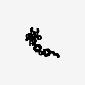 CCCCc1ccc(Oc2ccc(CCC(NC(C)=O)(C(=O)OCC)C(=O)OCC)cc2)cc1